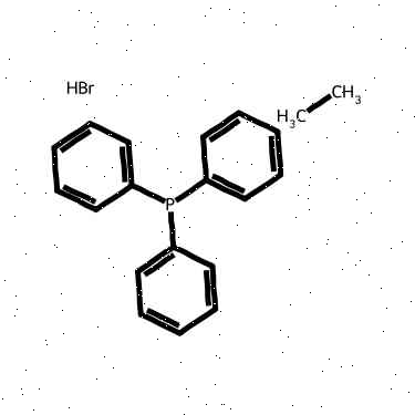 Br.CC.c1ccc(P(c2ccccc2)c2ccccc2)cc1